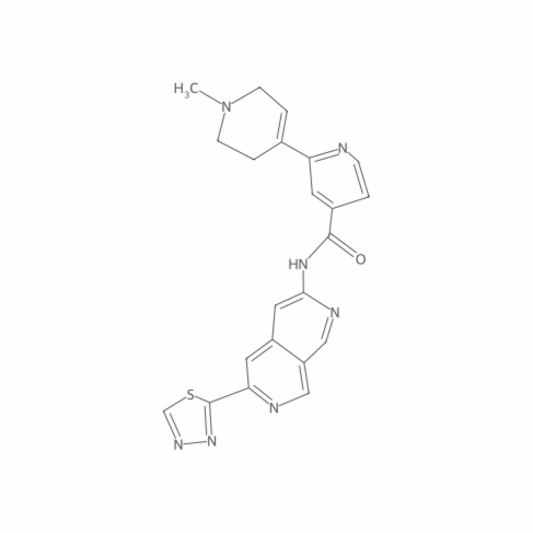 CN1CC=C(c2cc(C(=O)Nc3cc4cc(-c5nncs5)ncc4cn3)ccn2)CC1